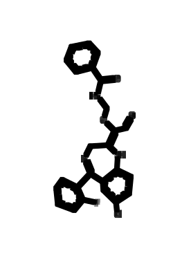 O=CC(OCNC(=O)c1ccccc1)=C1CN=C(c2ccccc2F)c2cc(Cl)ccc2N1